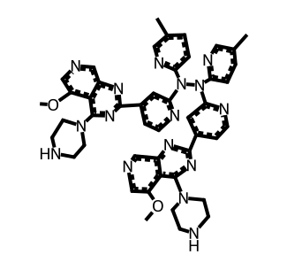 COc1cncc2nc(-c3ccnc(N(c4ccc(C)cn4)N(c4ccc(C)cn4)c4cc(-c5nc(N6CCNCC6)c6c(OC)cncc6n5)ccn4)c3)nc(N3CCNCC3)c12